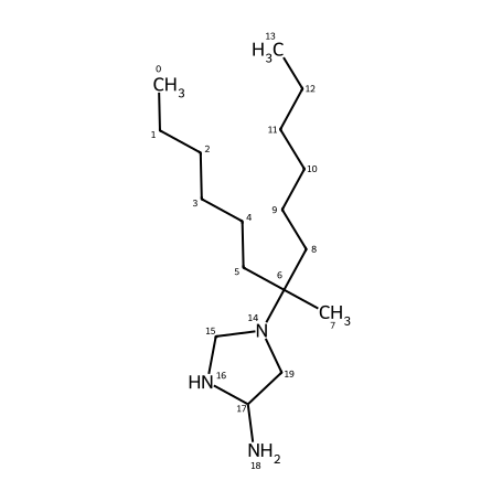 CCCCCCC(C)(CCCCCC)N1CNC(N)C1